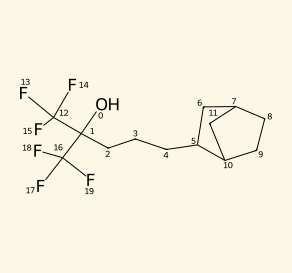 OC(CCCC1CC2CCC1C2)(C(F)(F)F)C(F)(F)F